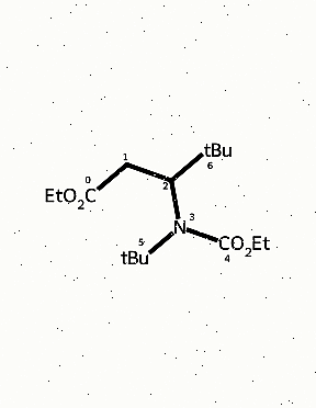 CCOC(=O)CC(N(C(=O)OCC)C(C)(C)C)C(C)(C)C